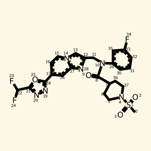 CS(=O)(=O)N1CCC(C(=O)N(Cc2cn3ccc(-c4nnc(C(F)F)o4)cc3n2)c2cccc(F)c2)CC1